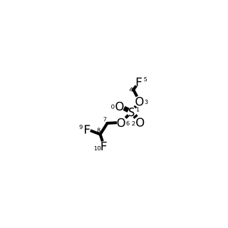 O=S(=O)(OCF)OCC(F)F